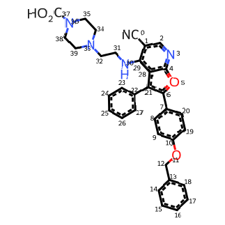 N#Cc1cnc2oc(-c3ccc(OCc4ccccc4)cc3)c(-c3ccccc3)c2c1NCCN1CCN(C(=O)O)CC1